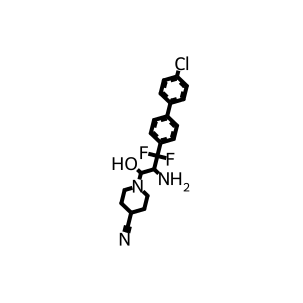 N#CC1CCN(C(O)C(N)C(F)(F)c2ccc(-c3ccc(Cl)cc3)cc2)CC1